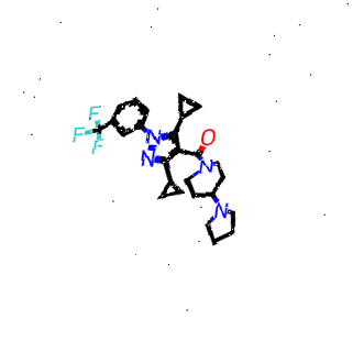 O=C(c1c(C2CC2)nn(-c2cccc(C(F)(F)F)c2)c1C1CC1)N1CCC(N2CCCC2)CC1